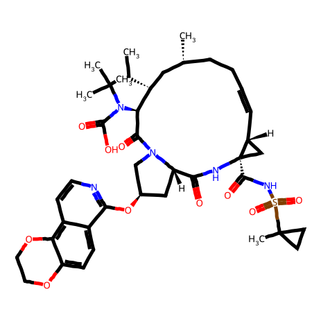 CC[C@@H]1C[C@H](C)CC/C=C\[C@@H]2C[C@@]2(C(=O)NS(=O)(=O)C2(C)CC2)NC(=O)[C@@H]2C[C@@H](Oc3nccc4c5c(ccc34)OCCO5)CN2C(=O)[C@H]1N(C(=O)O)C(C)(C)C